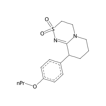 CCCOc1ccc(C2CCCN3CCS(=O)(=O)N=C23)cc1